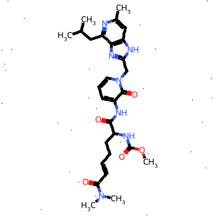 COC(=O)NC(CCC=CC(=O)N(C)C)C(=O)Nc1cccn(Cc2nc3c(CC(C)C)nc(C)cc3[nH]2)c1=O